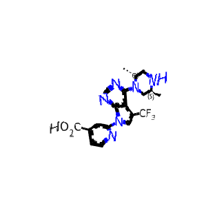 C[C@@H]1CN[C@@H](C)CN1c1ncnc2c1c(C(F)(F)F)cn2-c1cc(C(=O)O)ccn1